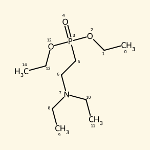 CCOP(=O)(CCN(CC)CC)OCC